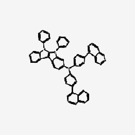 c1ccc(-n2c3ccccc3c3c4ccc(N(c5ccc(-c6cccc7ccccc67)cc5)c5ccc(-c6cccc7ccccc67)cc5)cc4n(-c4ccccc4)c32)cc1